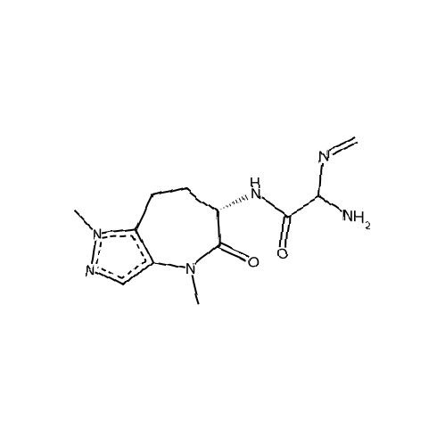 C=NC(N)C(=O)N[C@H]1CCc2c(cnn2C)N(C)C1=O